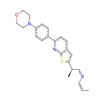 C/C=C\N=C/[C@@H](C)c1cc2ccc(-c3ccc(N4CCOCC4)cc3)nc2s1